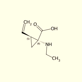 C=C[C@@H]1C[C@]1(NCC)C(=O)O